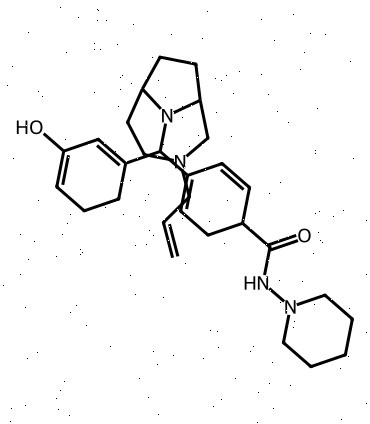 C=CCN1CCC2CCC(C1)N2C(C1=CCC(C(=O)NN2CCCCC2)C=C1)C1=CC(O)=CCC1